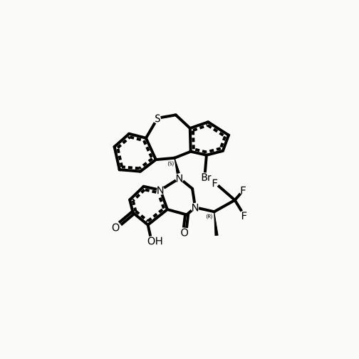 C[C@@H](N1CN([C@H]2c3ccccc3SCc3cccc(Br)c32)n2ccc(=O)c(O)c2C1=O)C(F)(F)F